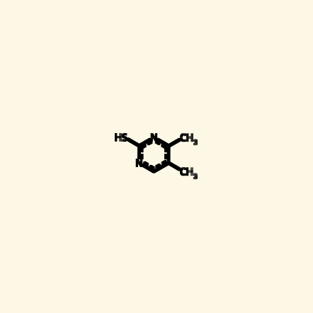 Cc1cnc(S)nc1C